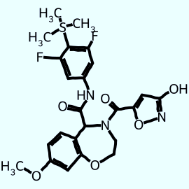 COc1ccc2c(c1)OCCN(C(=O)c1cc(O)no1)C2C(=O)Nc1cc(F)c(S(C)(C)C)c(F)c1